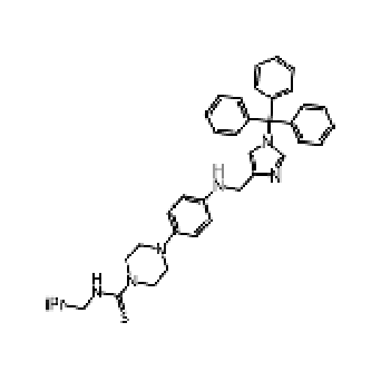 CC(C)CNC(=S)N1CCN(c2ccc(NCc3cn(C(c4ccccc4)(c4ccccc4)c4ccccc4)cn3)cc2)CC1